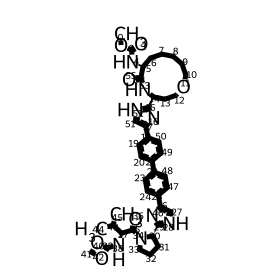 COC(=O)N[C@@H]1CCCCCOCC[C@@H](c2nc(-c3ccc(-c4ccc(-c5c[nH]c([C@@H]6CCCN6C(=O)[C@@H](NC6OCO6)C(C)C)n5)cc4)cc3)c[nH]2)NC1=O